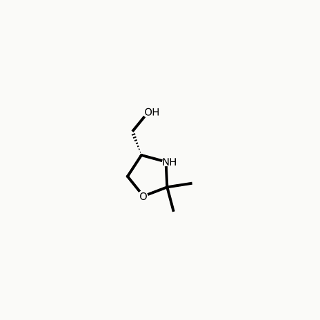 CC1(C)N[C@@H](CO)CO1